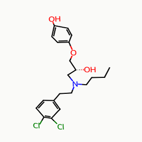 CCCCN(CCc1ccc(Cl)c(Cl)c1)C[C@@H](O)COc1ccc(O)cc1